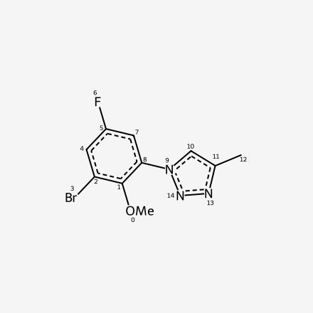 COc1c(Br)cc(F)cc1-n1cc(C)nn1